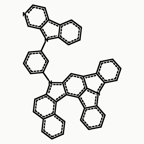 c1cc(-n2c3ccccc3c3ccncc32)cc(-n2c3ccc4ccccc4c3c3c4c5ccccc5n5c6ccccc6c(cc32)c45)c1